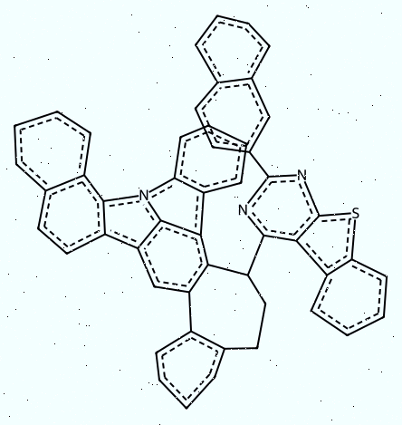 c1ccc2c(c1)CCC(c1nc(-c3ccc4ccccc4c3)nc3sc4ccccc4c13)c1c-2cc2c3ccc4ccccc4c3n3c4ccccc4c1c23